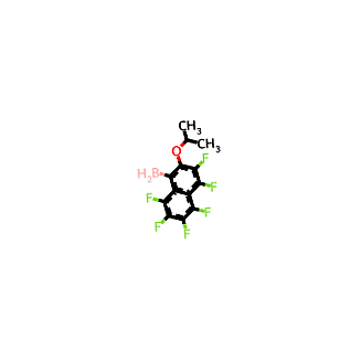 Bc1c(OC(C)C)c(F)c(F)c2c(F)c(F)c(F)c(F)c12